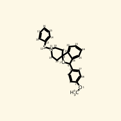 COc1ccc(C2OC3(CCN(Sc4ccccc4)CC3)c3ccccc32)cc1